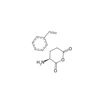 C=Cc1ccccc1.N[C@H]1CCC(=O)OC1=O